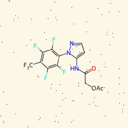 CC(=O)OCC(=O)Nc1ccnn1-c1c(F)c(F)c(C(F)(F)F)c(F)c1F